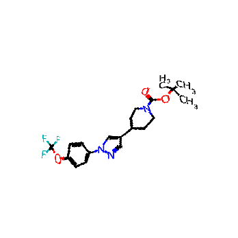 CC(C)(C)OC(=O)N1CCC(c2cnn(-c3ccc(OC(F)(F)F)cc3)c2)CC1